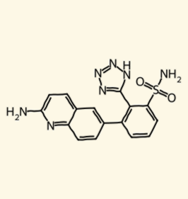 Nc1ccc2cc(-c3cccc(S(N)(=O)=O)c3-c3nnn[nH]3)ccc2n1